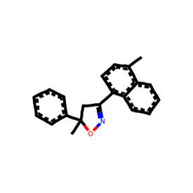 Cc1ccc(C2=NOC(C)(c3ccccc3)C2)c2ccccc12